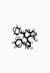 C[C@@H]1COCCN1c1cc(-c2ccnn2C2CCCCO2)c2c(cnn2C)n1